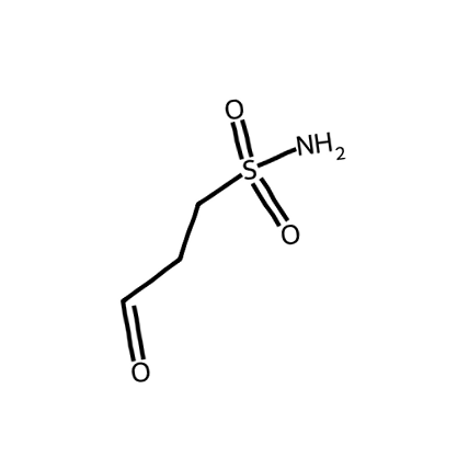 NS(=O)(=O)CCC=O